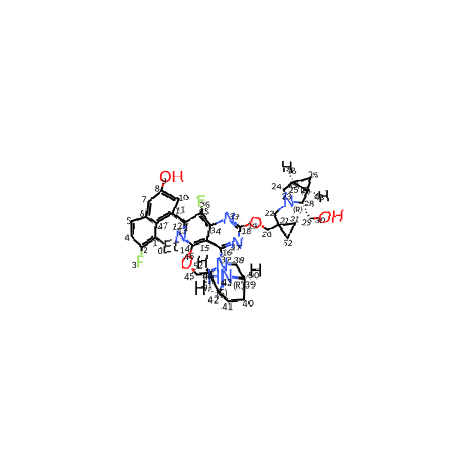 CCc1c(F)ccc2cc(O)cc(-c3nc4c5c(nc(OCC6(CN7C[C@H]8C[C@H]8[C@@H]7CO)CC6)nc5c3F)N3C[C@H]5CC[C@H](N5)[C@@H]3CO4)c12